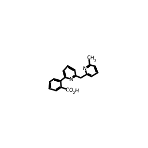 Cc1cccc(Cc2cccc(-c3ccccc3C(=O)O)n2)n1